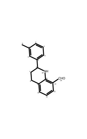 Cc1cccc(C2CCc3cccc(C=O)c3N2)c1